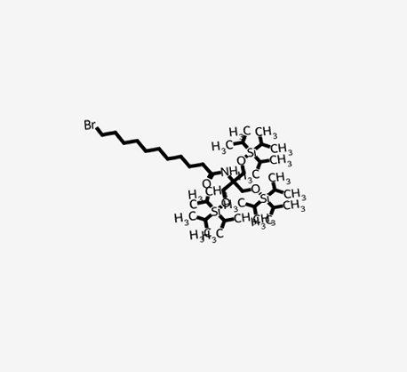 CC(C)[Si](OCC(CO[Si](C(C)C)(C(C)C)C(C)C)(CO[Si](C(C)C)(C(C)C)C(C)C)NC(=O)CCCCCCCCCCBr)(C(C)C)C(C)C